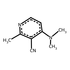 Cc1nccc(N(C)C)c1C#N